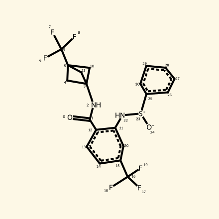 O=C(NC12CC(C(F)(F)F)(C1)C2)c1ccc(C(F)(F)F)cc1N[S+]([O-])c1ccccc1